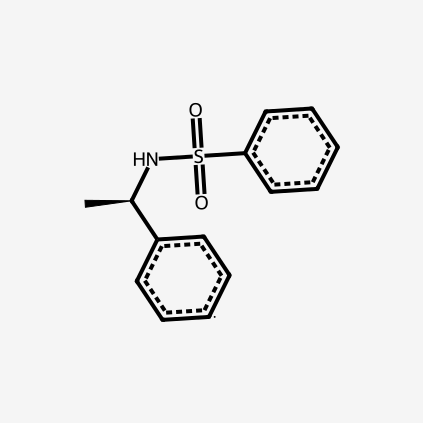 C[C@@H](NS(=O)(=O)c1ccccc1)c1cc[c]cc1